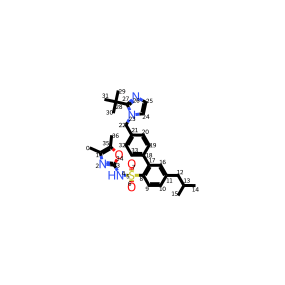 Cc1nc(NS(=O)(=O)c2ccc(CC(C)C)cc2-c2ccc(Cn3ccnc3C(C)(C)C)cc2)oc1C